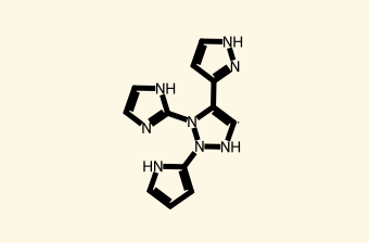 [C]1=C(c2cc[nH]n2)N(c2ncc[nH]2)N(c2ccc[nH]2)N1